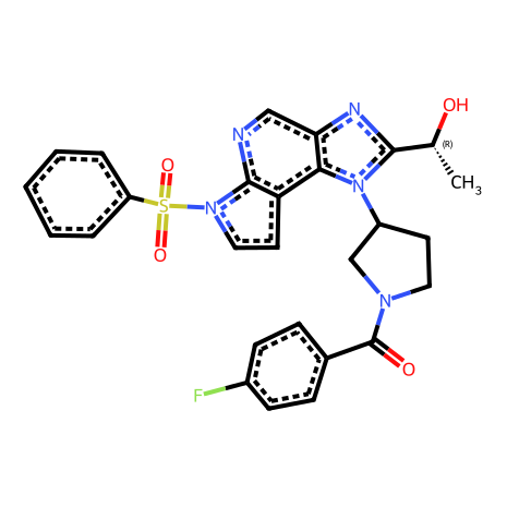 C[C@@H](O)c1nc2cnc3c(ccn3S(=O)(=O)c3ccccc3)c2n1C1CCN(C(=O)c2ccc(F)cc2)C1